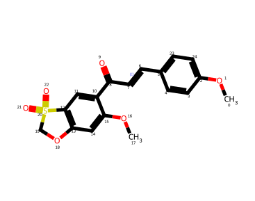 COc1ccc(/C=C/C(=O)c2cc3c(cc2OC)OCS3(=O)=O)cc1